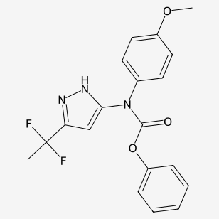 COc1ccc(N(C(=O)Oc2ccccc2)c2cc(C(C)(F)F)n[nH]2)cc1